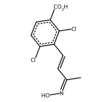 CC(/C=C/c1c(Cl)ccc(C(=O)O)c1Cl)=N/O